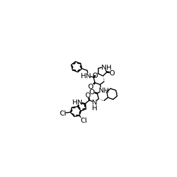 O=C(NCc1ccccc1)C(=O)C(C[C@@H]1CCNC1=O)NC(=O)[C@H](CC1CCCCC1)NC(=O)c1cc2c(Cl)cc(Cl)cc2[nH]1